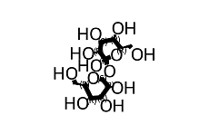 OC[C@H]1O[C@@H](O[C@]2(O)O[C@H](CO)[C@H](O)[C@H](O)[C@H]2O)[C@H](O)[C@@H](O)[C@H]1O